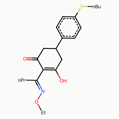 CCCCSc1ccc(C2CC(=O)C(/C(CCC)=N/OCC)=C(O)C2)cc1